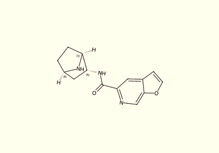 O=C(N[C@@H]1C[C@H]2CC[C@@H]1N2)c1cc2ccoc2cn1